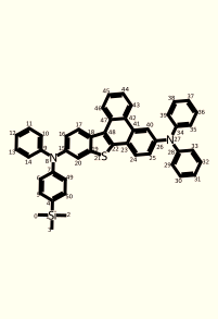 C[Si](C)(C)c1ccc(N(c2ccccc2)c2ccc3c(c2)sc2c4ccc(N(c5ccccc5)c5ccccc5)cc4c4ccccc4c32)cc1